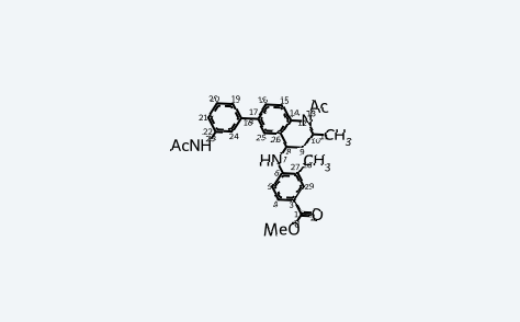 COC(=O)c1ccc(NC2CC(C)N(C(C)=O)c3ccc(-c4cccc(NC(C)=O)c4)cc32)c(C)c1